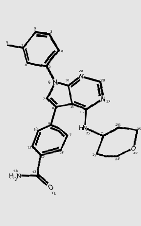 Cc1cccc(-n2cc(-c3ccc(C(N)=O)cc3)c3c(NC4CCOCC4)ncnc32)c1